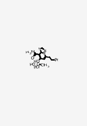 CC(=O)O.CC(C)CCc1cc(O)c(C(N)=O)c2ncnn12.Cl